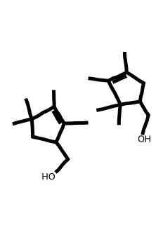 CC1=C(C)C(C)(C)C(CO)C1.CC1=C(C)C(C)(C)CC1CO